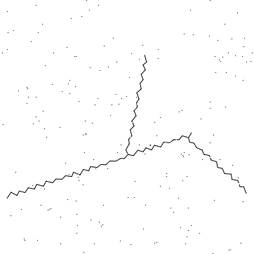 CCCCCCCCCCCCCCCCCCCCCCCCCCCC(CCCCC[CH]CCCCCCC(C)CCCCCCCCCCCCCCCCC)CCCCCCCCCCCCCCCCCCCCC